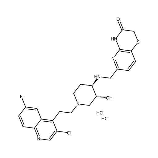 Cl.Cl.O=C1CSc2ccc(CN[C@@H]3CCN(CCc4c(Cl)cnc5ccc(F)cc45)C[C@H]3O)nc2N1